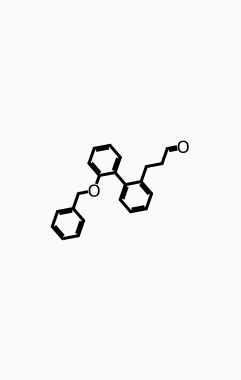 O=CCCc1ccccc1-c1ccccc1OCc1ccccc1